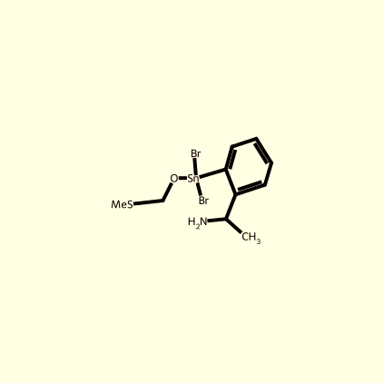 CSC[O][Sn]([Br])([Br])[c]1ccccc1C(C)N